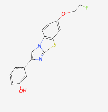 Oc1cccc(-c2cn3c(n2)sc2cc(OCCF)ccc23)c1